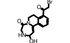 O=C(CBr)c1cccc2c1CCN1C(=O)CNC(O)C=C21